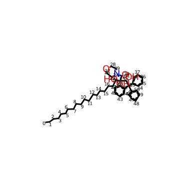 CCCCCCCCCCCCCCCCCCC(O)C(O)(C(=O)N1CCOCC1)C(O)C(c1ccccc1)(c1ccccc1)c1ccccc1